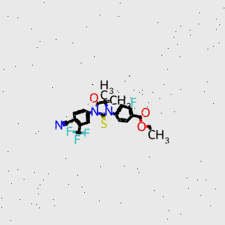 CCOC(=O)c1ccc(N2C(=S)N(c3ccc(C#N)c(C(F)(F)F)c3)C(=O)C2(C)C)cc1F